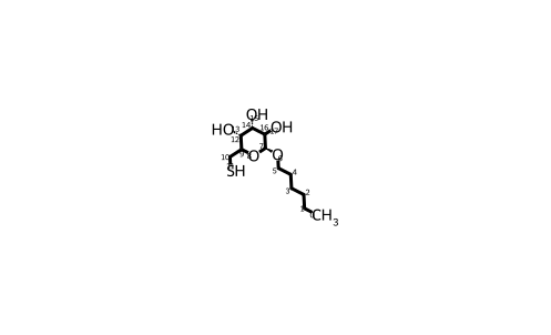 CCCCCCO[C@H]1OC(CS)[C@H](O)[C@H](O)C1O